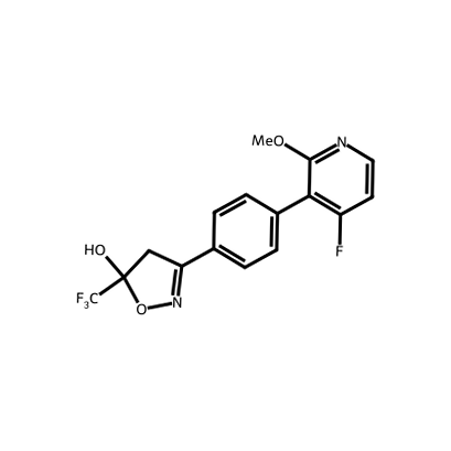 COc1nccc(F)c1-c1ccc(C2=NOC(O)(C(F)(F)F)C2)cc1